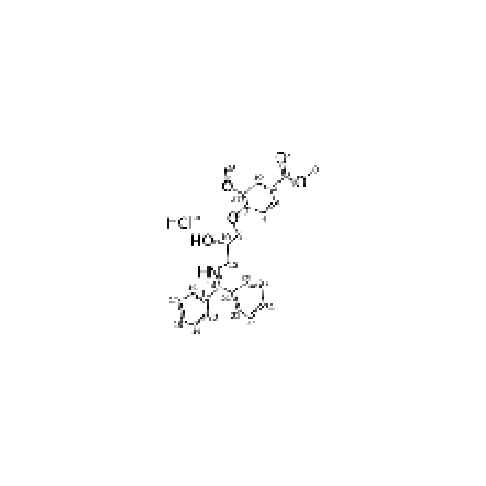 COC(=O)c1ccc(OCC(O)CNC(c2ccccc2)c2ccccc2)c(OC)c1.Cl